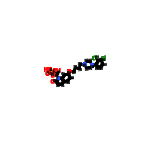 CC(OP(=O)(O)O)n1c(=O)ccc2ccc(OCCCCN3CCN(c4cccc(Cl)c4Cl)CC3)cc21